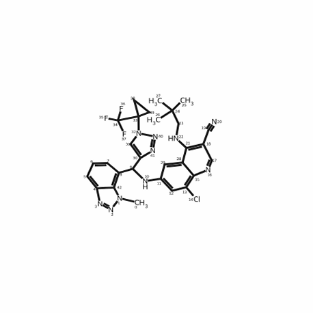 Cn1nnc2cccc(C(Nc3cc(Cl)c4ncc(C#N)c(NCC(C)(C)C)c4c3)c3cn(C4(C(F)(F)F)CC4)nn3)c21